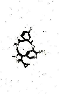 CC1Oc2cc(cnc2N)-c2c(C3CC3)nn(C)c2CN(C)C(=O)c2ccc(F)cc21